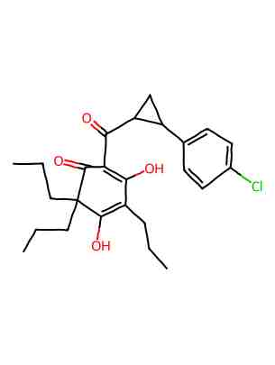 CCCC1=C(O)C(CCC)(CCC)C(=O)C(C(=O)C2CC2c2ccc(Cl)cc2)=C1O